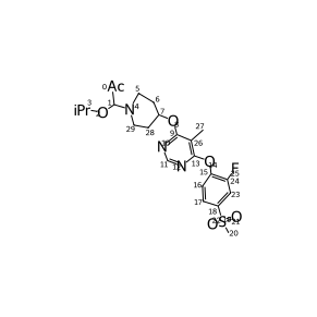 CC(=O)C(OC(C)C)N1CCC(Oc2ncnc(Oc3ccc(S(C)(=O)=O)cc3F)c2C)CC1